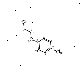 [S]CCOc1ccc(Cl)cc1